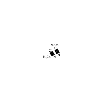 [C-]#N.[C-]#N.[CaH2].[Mn+2]